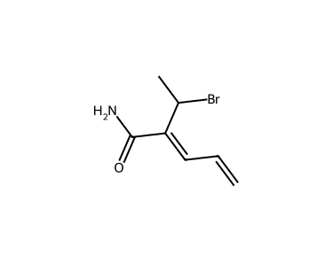 C=C/C=C(/C(N)=O)C(C)Br